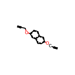 C#CCOc1ccc2cc(OCC#C)ccc2c1